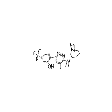 Cc1cc(-c2ccc(C(F)(F)F)cc2O)nnc1NC1CCCNC1